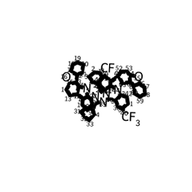 FC(F)(F)c1ccc(-n2c3ccccc3c3ccc4oc5ccccc5c4c32)c(-c2nc(-c3ccccc3)nc(-c3cc(C(F)(F)F)ccc3-n3c4ccccc4c4ccc5oc6ccccc6c5c43)n2)c1